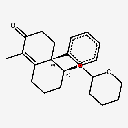 CC1=C2CCC[C@H](OC3CCCCO3)[C@@]2(c2ccccc2)CCC1=O